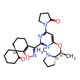 C[C@H](Oc1cc(N2CCCC2=O)nc(-c2noc3c2CCC[C@@]32CCCCC2=O)n1)[C@@H]1CCCN1C